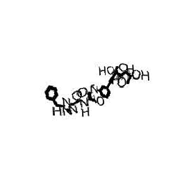 CN1C(=O)[C@H](NC(=O)c2n[nH]c(Cc3ccccc3)n2)COc2ccc(C#C[C@@]3(O)CO[C@@H]4[C@@H](O)CO[C@@H]43)cc21